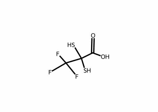 O=C(O)C(S)(S)C(F)(F)F